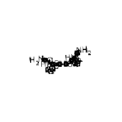 CCO[Si](OCC)(OCC)Oc1cc(Oc2ccc(C3=CCC(F)(Oc4ccc(NC(=O)c5ccc(N)cc5)c(O[Si](OCC)(OCC)OCC)c4)C=C3)cc2)ccc1NC(=O)c1ccc(N)cc1